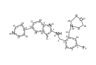 Fc1ccc(CNc2nc3ccc(-c4ccncc4)cc3s2)c(CN2CCOCC2)c1